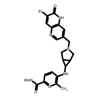 CCc1cc2ncc(CN3CC4C(C3)C4Nc3ccc(C(=O)NC)nc3C)cc2[nH]c1=O